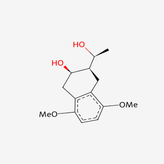 COc1ccc(OC)c2c1C[C@H]([C@H](C)O)[C@H](O)C2